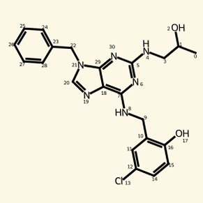 CC(O)CNc1nc(NCc2cc(Cl)ccc2O)c2ncn(Cc3ccccc3)c2n1